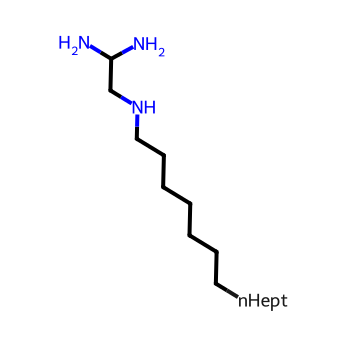 CCCCCCCCCCCCCCNCC(N)N